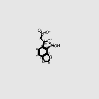 O=[N+]([O-])C[C@H]1OB(O)c2c1ccc1c2OCO1